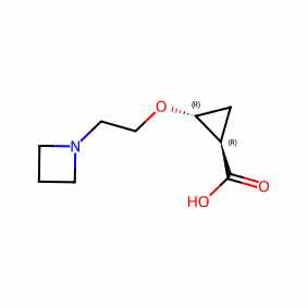 O=C(O)[C@@H]1C[C@H]1OCCN1CCC1